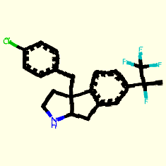 CC(F)(c1ccc2c(c1)CC1NCCC21Cc1ccc(Cl)cc1)C(F)(F)F